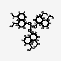 CCc1cccc2c(OB(Oc3ccc(CC)c4c(CC)cccc34)Oc3ccc(CC)c4c(CC)cccc34)ccc(CC)c12